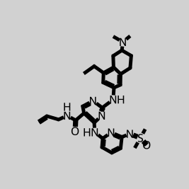 C=CCNC(=O)c1cnc(Nc2cc(CC)c3c(c2)CCC(N(C)C)C3)nc1Nc1cccc(N=S(C)(C)=O)n1